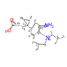 CC(C)CN(CC(C)C)c1ccc(C2(CC(=O)O)CC2)cc1N